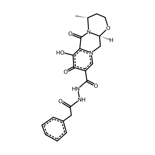 C[C@@H]1CCO[C@H]2Cn3cc(C(=O)NNC(=O)Cc4ccccc4)c(=O)c(O)c3C(=O)N12